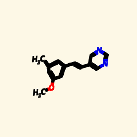 COc1cc(C)cc(/C=C/c2cncnc2)c1